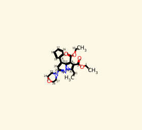 CCOC(=O)c1c(C(=O)OCC)c2c(-c3ccccc3)cc(N3CCOCC3)nn2c1CC